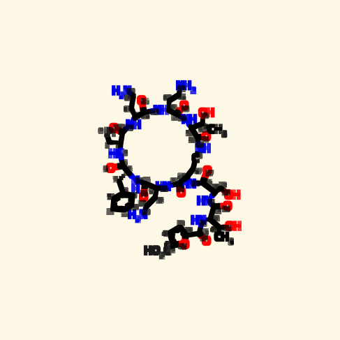 CC(C)C[C@@H]1NC(=O)[C@@H](Cc2ccccc2)NC(=O)[C@H](CCN)NC(=O)[C@@H](NC(=O)[C@@H](CO)NC(=O)[C@@H](NC(=O)c2ccc(C(=O)O)o2)[C@@H](C)O)CCNC(=O)[C@H]([C@@H](C)O)NC(=O)[C@H](CCN)NC(=O)[C@H](CCN)NC1=O